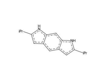 CC(C)c1cc2cc3cc(C(C)C)[nH]c3cc2[nH]1